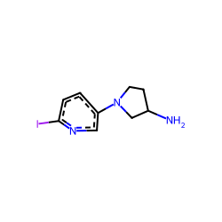 NC1CCN(c2ccc(I)nc2)C1